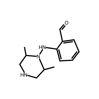 CC1CNCC(C)N1Nc1ccccc1C=O